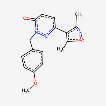 COc1ccc(Cn2nc(-c3c(C)noc3C)ccc2=O)cc1